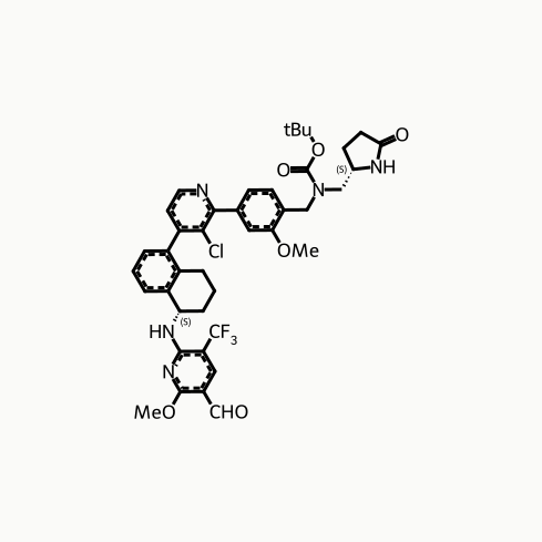 COc1cc(-c2nccc(-c3cccc4c3CCC[C@@H]4Nc3nc(OC)c(C=O)cc3C(F)(F)F)c2Cl)ccc1CN(C[C@@H]1CCC(=O)N1)C(=O)OC(C)(C)C